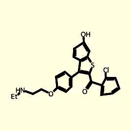 CCNCCOc1ccc(-c2c(C(=O)c3ccccc3Cl)sc3cc(O)ccc23)cc1